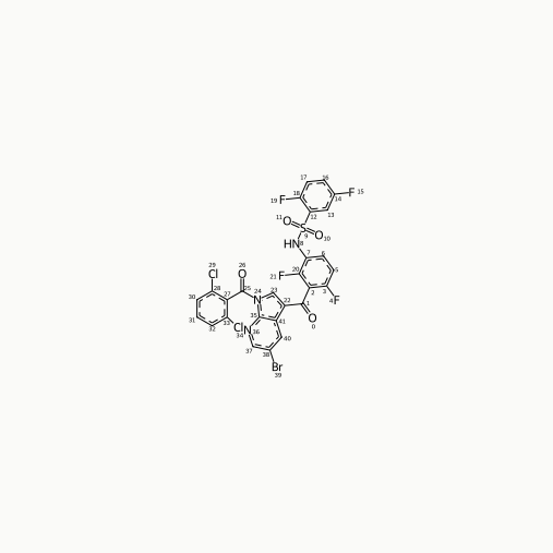 O=C(c1c(F)ccc(NS(=O)(=O)c2cc(F)ccc2F)c1F)c1cn(C(=O)c2c(Cl)cccc2Cl)c2ncc(Br)cc12